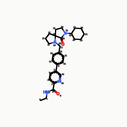 CCNC(=O)c1ccc(-c2ccc(CN3CCCC34CCN(C3CCCCC3)C4=O)cc2)cn1